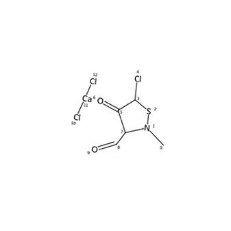 CN1SC(Cl)C(=O)C1C=O.[Cl][Ca][Cl]